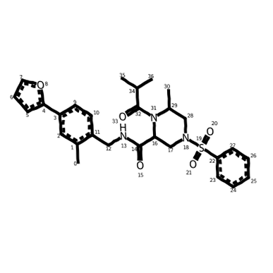 Cc1cc(-c2ccco2)ccc1CNC(=O)C1CN(S(=O)(=O)c2ccccc2)CC(C)N1C(=O)C(C)C